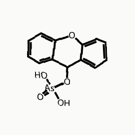 O=[As](O)(O)OC1c2ccccc2Oc2ccccc21